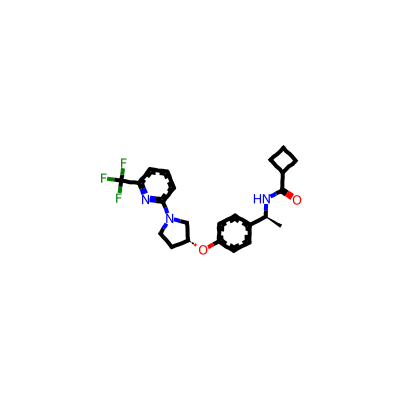 C[C@H](NC(=O)C1CCC1)c1ccc(O[C@@H]2CCN(c3cccc(C(F)(F)F)n3)C2)cc1